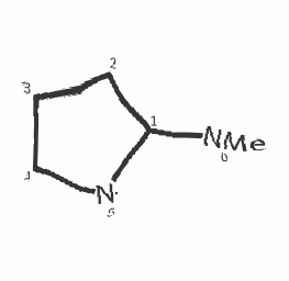 CNC1CCC[N]1